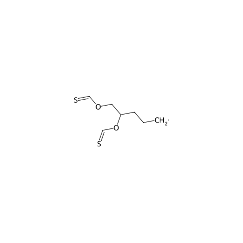 [CH2]CCC(COC=S)OC=S